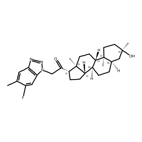 Cc1cc2nnn(CC(=O)[C@H]3CC[C@H]4[C@@H]5CC[C@@H]6C[C@](C)(O)CC[C@]6(C)[C@H]5CC[C@]34C)c2cc1F